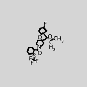 CC(C)O[C@@H]1CC2(CCN(C(=O)c3ccccc3OC(F)(F)F)CC2)Oc2ccc(F)cc21